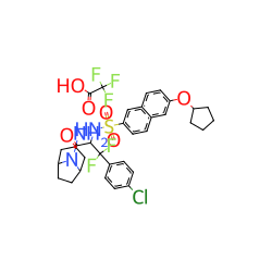 NC1CC2CCC(C1)N2C(=O)C(NS(=O)(=O)c1ccc2cc(OC3CCCC3)ccc2c1)C(F)(F)c1ccc(Cl)cc1.O=C(O)C(F)(F)F